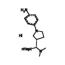 CCCCCCCC(C1CCN(c2ccc(N)cc2)C1)N(C)C.I